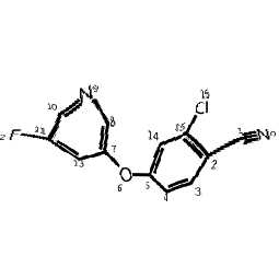 N#Cc1ccc(Oc2cncc(F)c2)cc1Cl